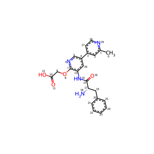 Cc1cc(-c2cnc(OCC(=O)O)c(NC(=O)[C@@H](N)Cc3ccccc3)c2)ccn1